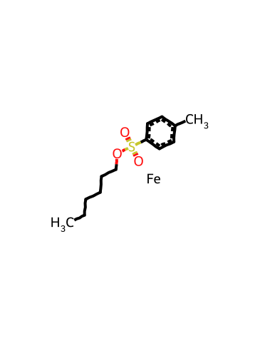 CCCCCCOS(=O)(=O)c1ccc(C)cc1.[Fe]